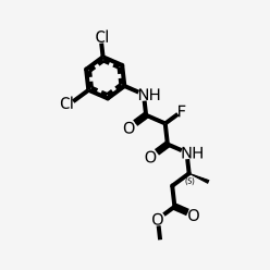 COC(=O)C[C@H](C)NC(=O)C(F)C(=O)Nc1cc(Cl)cc(Cl)c1